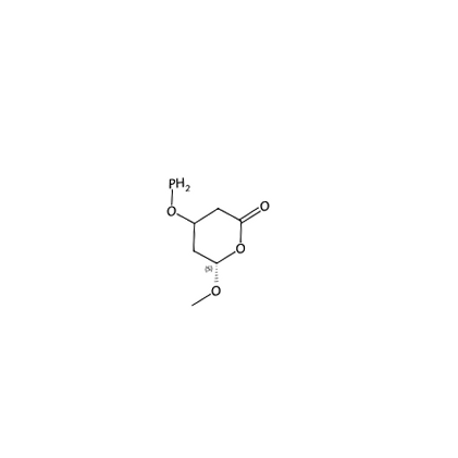 CO[C@@H]1CC(OP)CC(=O)O1